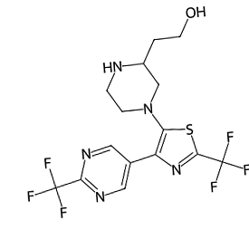 OCCC1CN(c2sc(C(F)(F)F)nc2-c2cnc(C(F)(F)F)nc2)CCN1